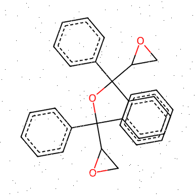 c1ccc(C(OC(c2ccccc2)(c2ccccc2)C2CO2)(c2ccccc2)C2CO2)cc1